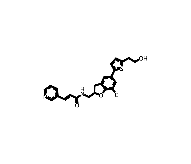 O=C(/C=C/c1cccnc1)NCC1Cc2cc(-c3ccc(CCO)s3)cc(Cl)c2O1